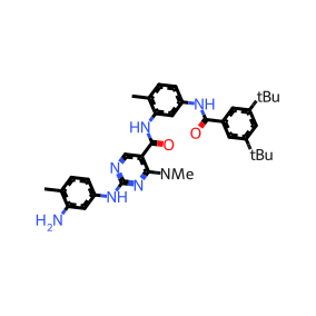 CNc1nc(Nc2ccc(C)c(N)c2)ncc1C(=O)Nc1cc(NC(=O)c2cc(C(C)(C)C)cc(C(C)(C)C)c2)ccc1C